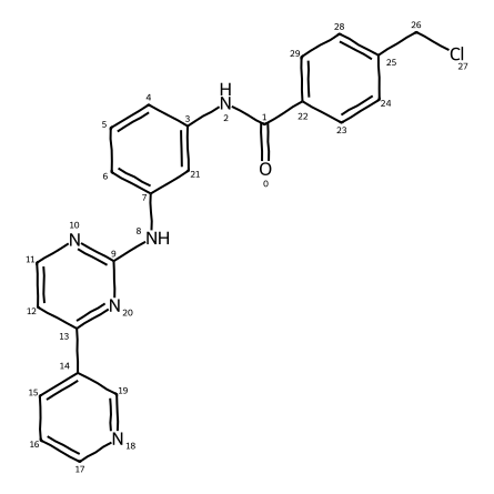 O=C(Nc1cccc(Nc2nccc(-c3cccnc3)n2)c1)c1ccc(CCl)cc1